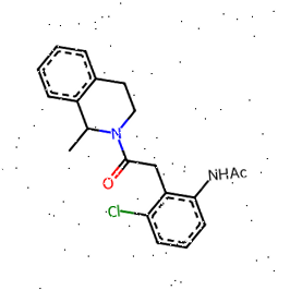 CC(=O)Nc1cccc(Cl)c1CC(=O)N1CCc2ccccc2C1C